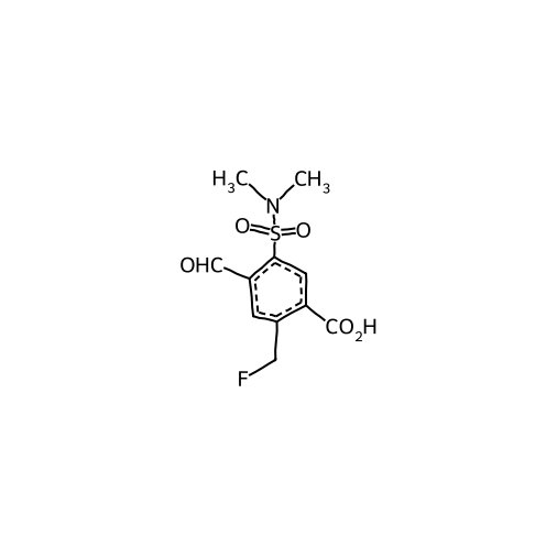 CN(C)S(=O)(=O)c1cc(C(=O)O)c(CF)cc1C=O